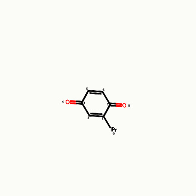 CC(C)C1=CC(=O)C=CC1=O